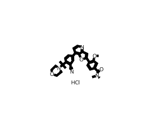 COc1cc(C(=O)N(C)C)ccc1-c1cc2nccc(-c3ccc(C(C)(C)N4CCOCC4)c(C#N)c3)c2o1.Cl